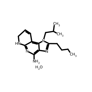 CCCCc1nc2c(N)nc3c(c2n1CC(C)C)C=CCN3.O